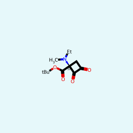 CCN(C)[C@@]1(C(=O)OC(C)(C)C)CC(=O)C1=O